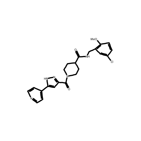 COc1ccc(Cl)cc1CNC(=O)C1CCN(C(=O)c2cc(-c3ccncc3)[nH]n2)CC1